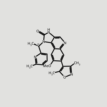 COc1cc2c(cc1-c1c(C)noc1C)ncc1[nH]c(=O)n([C@H](C)c3cccc(C)n3)c12